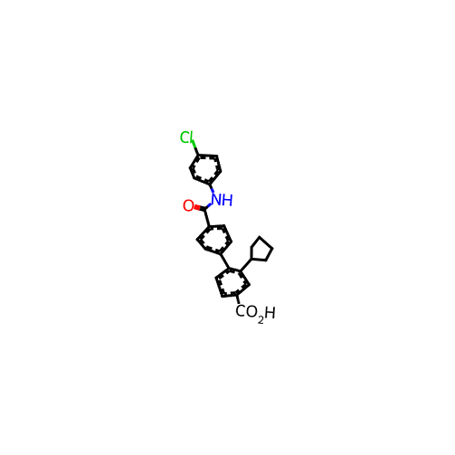 O=C(O)c1ccc(-c2ccc(C(=O)Nc3ccc(Cl)cc3)cc2)c(C2CCCC2)c1